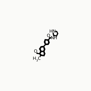 Cc1ccc2cc(-c3ccc(C(=O)NC4CCCNC4)cc3)ccc2c1C=O